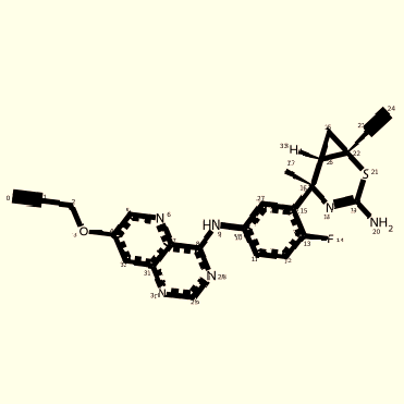 C#CCOc1cnc2c(Nc3ccc(F)c([C@@]4(C)N=C(N)S[C@@]5(C#C)C[C@H]54)c3)ncnc2c1